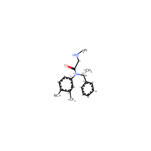 CCCNCC(=O)N(c1ccc(C#N)c(C(F)(F)F)c1)[C@H](C)c1ccccc1